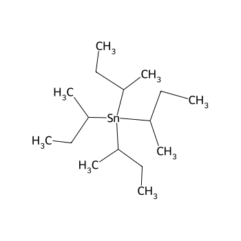 CC[CH](C)[Sn]([CH](C)CC)([CH](C)CC)[CH](C)CC